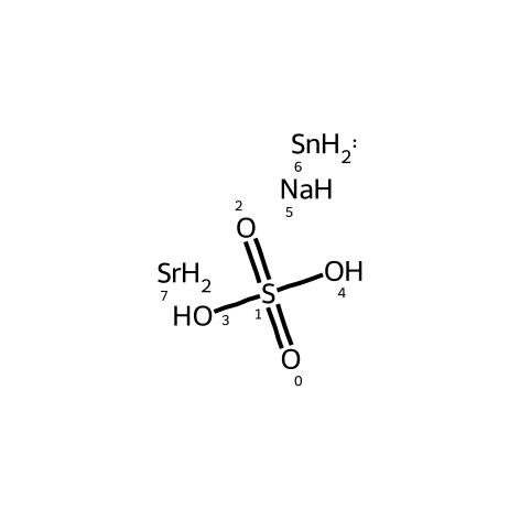 O=S(=O)(O)O.[NaH].[SnH2].[SrH2]